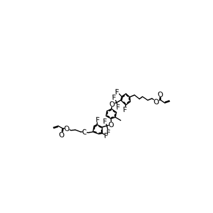 C=CC(=O)OCCCCCc1cc(F)c(C(F)(F)Oc2ccc(OC(F)(F)c3c(F)cc(CCCCCOC(=O)C=C)cc3F)c(C)c2)c(F)c1